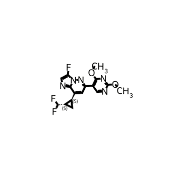 COc1ncc(-c2cc([C@H]3C[C@@H]3C(F)F)c3ncc(F)n3n2)c(OC)n1